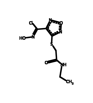 CCNC(=O)CSc1nonc1/C(Cl)=N/O